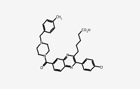 Cc1ccc(CN2CCN(C(=O)c3ccc4nc(-c5ccc(Cl)cc5)c(CCCCC(=O)O)nc4c3)CC2)cc1